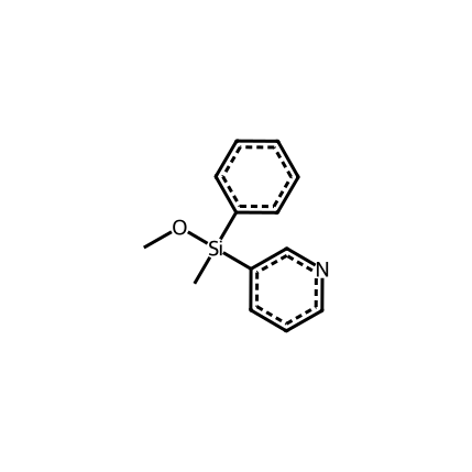 CO[Si](C)(c1ccccc1)c1cccnc1